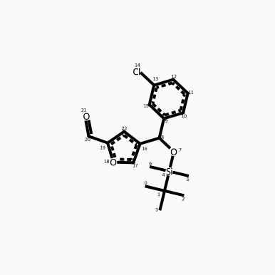 CC(C)(C)[Si](C)(C)OC(c1cccc(Cl)c1)c1coc(C=O)c1